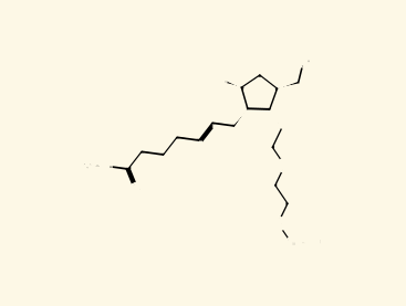 CCCCCCCOCCOCC[C@H]1[C@H](CO)C[C@H](O)[C@@H]1CC=CCCCC(=O)OC